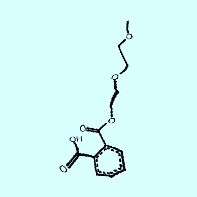 COCCOCCOC(=O)c1ccccc1C(=O)O